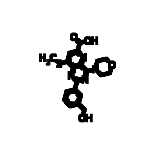 CSc1cc(C(=O)O)nc2c(N3CCOCC3)nc(-c3cccc(CO)c3)nc12